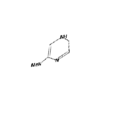 CNC1=CNCC=N1